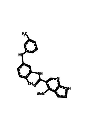 CNc1c(C(=O)Nc2cc(Nc3cccc(C(F)(F)F)c3)ccc2C)cnc2[nH]ccc12